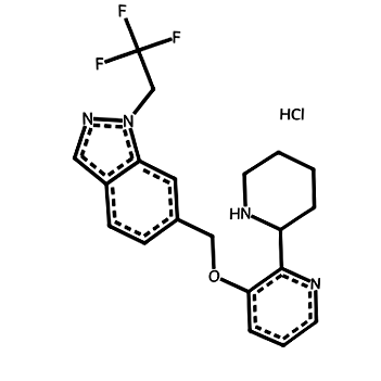 Cl.FC(F)(F)Cn1ncc2ccc(COc3cccnc3C3CCCCN3)cc21